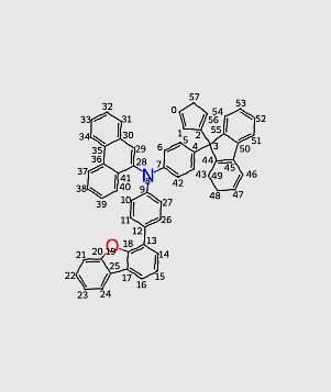 C1=CC(C2(c3ccc(N(c4ccc(-c5cccc6c5oc5ccccc56)cc4)c4cc5ccccc5c5ccccc45)cc3)C3=C(C=CCC3)c3ccccc32)=CC1